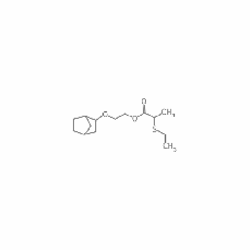 CCSC(C)C(=O)OCCOC1CC2CCC1C2